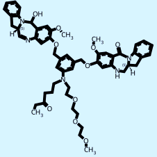 CCC(=O)CCCN(CCOCCOCCOC)c1cc(COc2cc3c(cc2OC)C(O)N2c4ccccc4C[C@H]2C=N3)cc(COc2cc3c(cc2OC)C(=O)N2c4ccccc4C[C@H]2CN3)c1